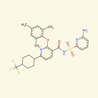 Cc1cc(C)c(Oc2nc(C3CCC(C(F)(F)F)CC3)ccc2C(=O)NS(=O)(=O)c2cccc(N)n2)c(C)c1